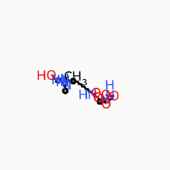 Cc1nn2c(N3CCN(CCO)CC3)cc(-c3ccccc3)nc2c1-c1ccc(CCCCCCCCCNC(=O)COc2cccc3c2CN(C2CCC(=O)NC2=O)C3=O)cc1